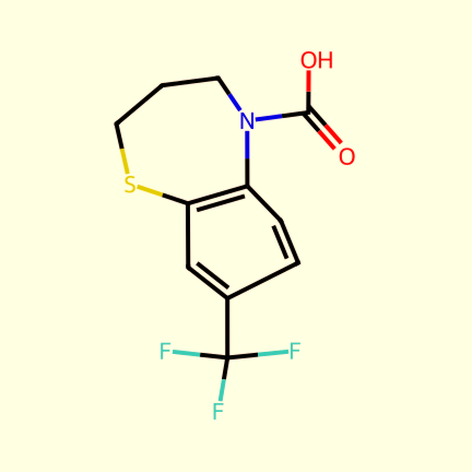 O=C(O)N1CCCSc2cc(C(F)(F)F)ccc21